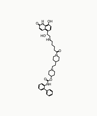 O=C(Nc1ccccc1-c1ccccc1)OC1CCN(CCC2CCN(C(=O)CCCCNC[C@H](O)c3ccc(O)c4[nH]c(=O)ccc34)CC2)CC1